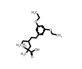 CCOc1cc(CCC(CC)CC(C)(N)C(=O)O)cc(OCC)c1